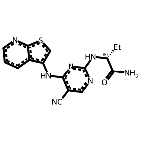 CC[C@@H](Nc1ncc(C#N)c(Nc2csc3ncccc23)n1)C(N)=O